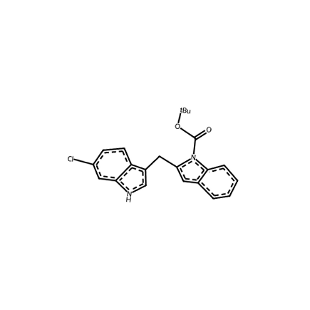 CC(C)(C)OC(=O)n1c(Cc2c[nH]c3cc(Cl)ccc23)cc2ccccc21